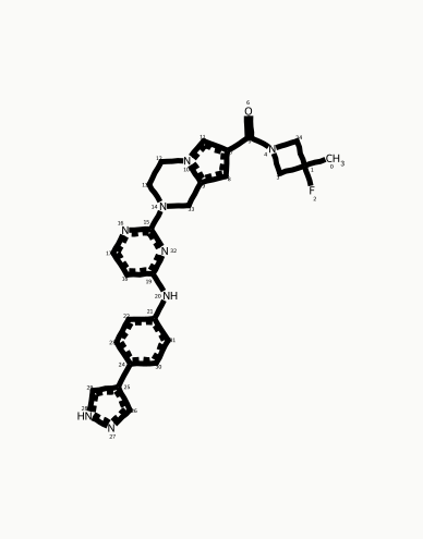 CC1(F)CN(C(=O)c2cc3n(c2)CCN(c2nccc(Nc4ccc(-c5cn[nH]c5)cc4)n2)C3)C1